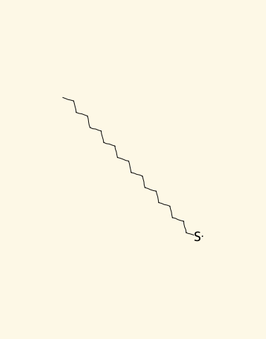 CCCCCCCCCCCCCCCCCCC[S]